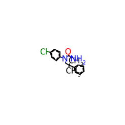 CC(C)(CN(C(N)=O)c1ccc(Cl)cc1)c1ccccc1